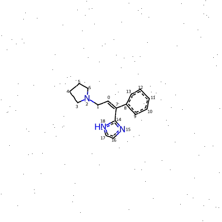 C(CN1CCCC1)=C(c1ccccc1)c1ncc[nH]1